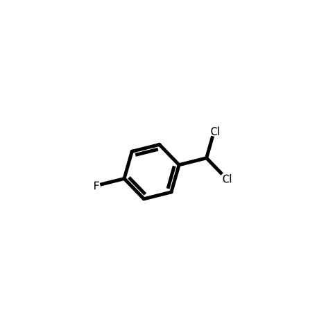 Fc1ccc(C(Cl)Cl)cc1